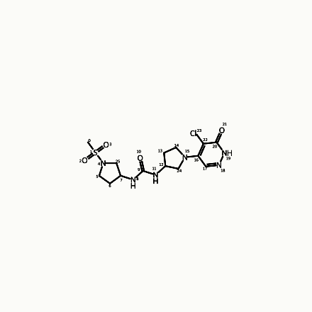 CS(=O)(=O)N1CCC(NC(=O)NC2CCN(c3cn[nH]c(=O)c3Cl)C2)C1